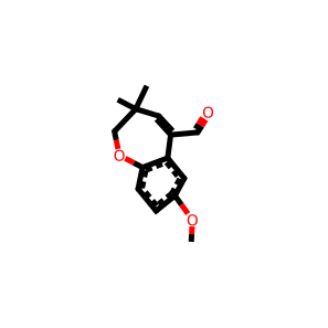 COc1ccc2c(c1)C(C=O)=CC(C)(C)CO2